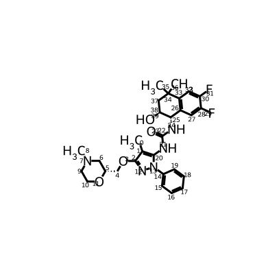 Cc1c(OC[C@H]2CN(C)CCO2)nn(-c2ccccc2)c1NC(=O)N[C@H]1c2cc(F)c(F)cc2C(C)(C)C[C@@H]1O